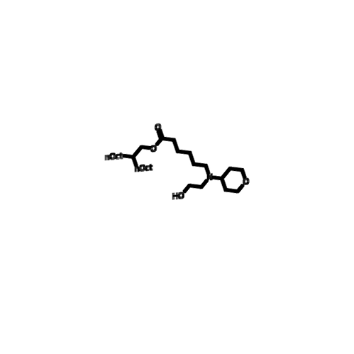 CCCCCCCCC(CCCCCCCC)COC(=O)CCCCCN(CCO)C1CCOCC1